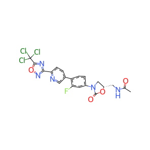 CC(=O)NC[C@H]1CN(c2ccc(-c3ccc(-c4noc(C(Cl)(Cl)Cl)n4)nc3)c(F)c2)C(=O)O1